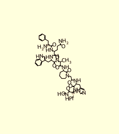 CC(C)C[C@@H](NC(=O)C(Cc1cnc[nH]1)NC(=O)CN1CCCCC(NC(=O)C(C)NC(=O)C(Cc2c[nH]c3ccccc23)NC(=O)C(CCC(N)=O)NC(=O)[C@H](N)Cc2ccccc2)C1=O)C(=O)NO